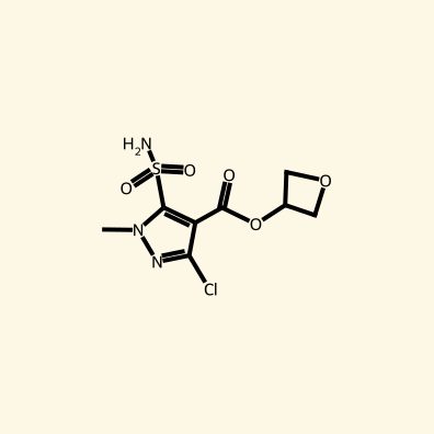 Cn1nc(Cl)c(C(=O)OC2COC2)c1S(N)(=O)=O